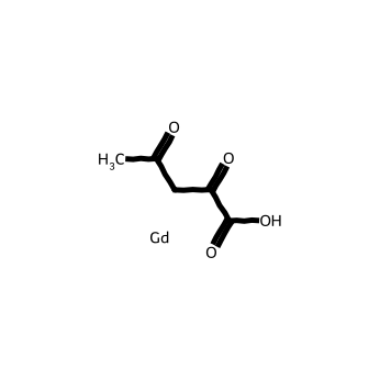 CC(=O)CC(=O)C(=O)O.[Gd]